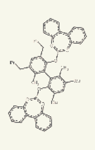 Cc1c(CC(C)C)cc(CC(C)C)c(Op2oc3ccccc3c3ccccc3o2)c1-c1c(C)c(C(C)(C)C)cc(C(C)(C)C)c1Op1oc2ccccc2c2ccccc2o1